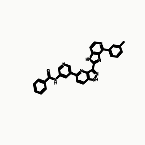 Cc1cccc(-c2nccc3[nH]c(-c4n[nH]c5ccc(-c6cncc(NC(=O)c7ccccc7)c6)nc45)nc23)c1